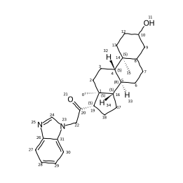 C[C@]12CC[C@H]3[C@@H](CCC4CC(O)CC[C@@]43C)[C@@H]1CC[C@@H]2C(=O)Cn1cnc2ccccc21